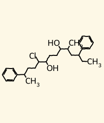 CCC(CC(C)C(O)CCC(O)C(Cl)CCC(C)c1ccccc1)c1ccccc1